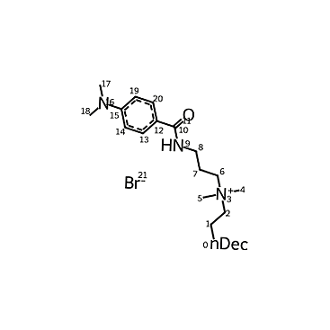 CCCCCCCCCCCC[N+](C)(C)CCCNC(=O)c1ccc(N(C)C)cc1.[Br-]